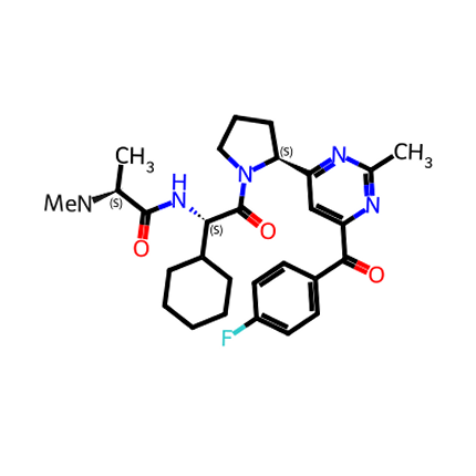 CN[C@@H](C)C(=O)N[C@H](C(=O)N1CCC[C@H]1c1cc(C(=O)c2ccc(F)cc2)nc(C)n1)C1CCCCC1